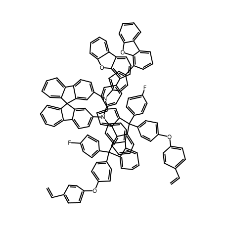 C=Cc1ccc(Oc2ccc(C3(c4ccc(F)cc4)c4ccccc4-c4ccc(N(c5ccc(-c6cccc7c6oc6ccccc67)cc5)c5ccc6c(c5)C5(c7ccccc7-6)c6ccccc6-c6ccc(N(c7ccc(-c8cccc9c8oc8ccccc89)cc7)c7ccc8c(c7)C(c7ccc(F)cc7)(c7ccc(Oc9ccc(C=C)cc9)cc7)c7ccccc7-8)cc65)cc43)cc2)cc1